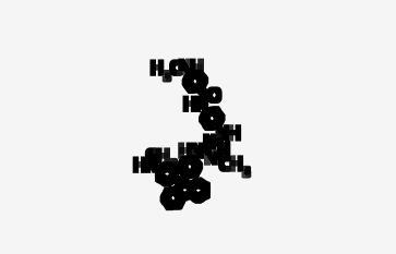 CNc1ccc(C(=O)Nc2ccc(Nc3nc(C)nc(Nc4ccc(C5(c6ccc(NC)cc6)c6ccccc6-c6ccccc65)cc4)n3)cc2)cc1